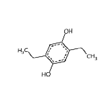 CCc1cc(O)c(CC)cc1O